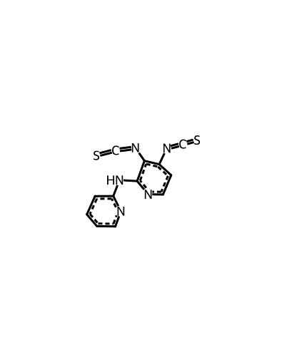 S=C=Nc1ccnc(Nc2ccccn2)c1N=C=S